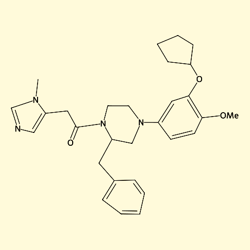 COc1ccc(N2CCN(C(=O)Cc3cncn3C)C(Cc3ccccc3)C2)cc1OC1CCCC1